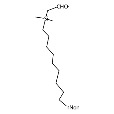 CCCCCCCCCCCCCCCCCC[Si](C)(C)C[C]=O